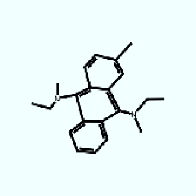 CCN(C)c1c2ccccc2c(N(C)CC)c2cc(C)ccc12